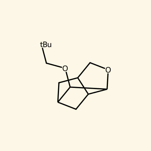 CC(C)(C)COC1C2CC3COC1C3C2